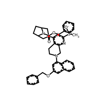 C[S+]([O-])c1nc2c(c(N3CC4CCC(C3)N4C(=O)OCc3ccccc3)n1)CCN(c1cc(OCc3ccccc3)cc3ccccc13)C2